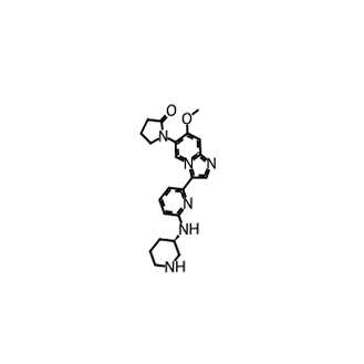 COc1cc2ncc(-c3cccc(N[C@@H]4CCCNC4)n3)n2cc1N1CCCC1=O